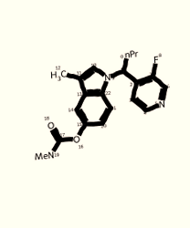 CCCC(c1ccncc1F)n1cc(C)c2cc(OC(=O)NC)ccc21